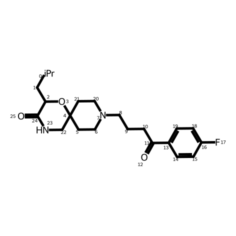 CC(C)CC1OC2(CCN(CCCC(=O)c3ccc(F)cc3)CC2)CNC1=O